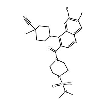 CN(C)S(=O)(=O)N1CCN(C(=O)c2cnc3cc(F)c(F)cc3c2N2CCC(C)(C#N)CC2)CC1